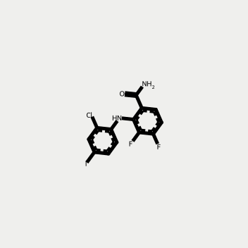 NC(=O)c1ccc(F)c(F)c1Nc1ccc(I)cc1Cl